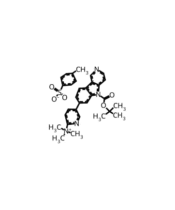 CC(C)(C)OC(=O)n1c2ccncc2c2ccc(-c3ccc([N+](C)(C)C)nc3)cc21.Cc1ccc(S(=O)(=O)[O-])cc1